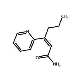 CCC/C(=C/C(N)=O)c1ccccn1